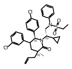 C=CC[C@@]1(C)CC(c2cccc(Cl)c2)[C@@H](c2ccc(Cl)cc2)N([C@H](CN(c2ccccc2)S(=O)(=O)CC)C2CC2)C1=O